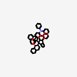 C1=CC2C(Oc3c(ccc4ccccc34)C23c2ccccc2-c2cc(-c4ccccc4N(c4ccccc4)c4ccc(-c5ccccc5)cc4-c4ccccc4)ccc23)c2ccccc21